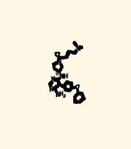 CN(C)CC=CC(=O)N1CC[C@@H](Nc2ncnc(N)c2-c2ccc(Oc3ccccc3)cc2)C1